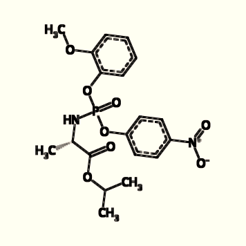 COc1ccccc1OP(=O)(N[C@@H](C)C(=O)OC(C)C)Oc1ccc([N+](=O)[O-])cc1